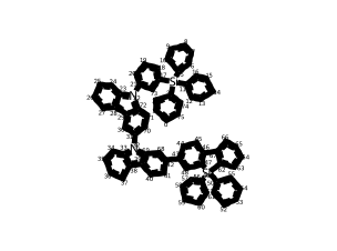 c1ccc([Si](c2ccccc2)(c2ccccc2)c2cccc(-n3c4ccccc4c4cc(-n5c6ccccc6c6ccc(-c7ccc8c(c7)[Si](c7ccccc7)(c7ccccc7)c7ccccc7-8)cc65)ccc43)c2)cc1